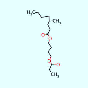 CCCCC(C)CCC(=O)OCCCCOC(=O)CC